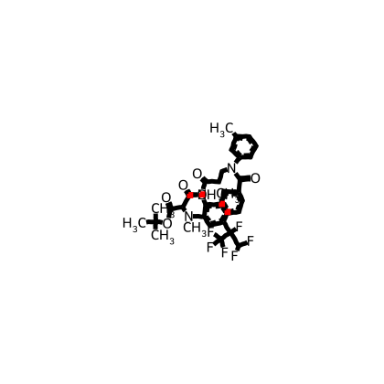 Cc1cccc(N(CCC(=O)OCC(C(=O)OC(C)(C)C)N(C)c2cc(C(F)(C(F)F)C(F)(F)F)cc(C)c2NC=O)C(=O)c2ccccc2)c1